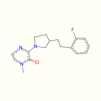 Cn1ccnc(N2CCC(CCc3ccccc3F)C2)c1=O